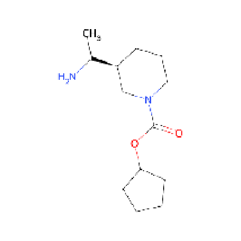 CC(N)[C@H]1CCCN(C(=O)OC2CCCC2)C1